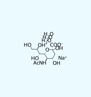 CC(=O)N[C@H]1[C@H]([C@H](O)[C@H](O)CO)O[C@](O)(C(=O)[O-])C[C@@H]1O.O.O.O.[Na+]